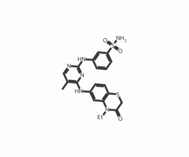 CCN1C(=O)CSc2ccc(Nc3nc(Nc4cccc(S(N)(=O)=O)c4)ncc3C)cc21